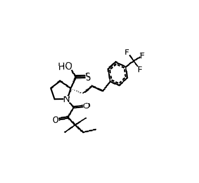 CCC(C)(C)C(=O)C(=O)N1CCC[C@@]1(CCCc1ccc(C(F)(F)F)cc1)C(O)=S